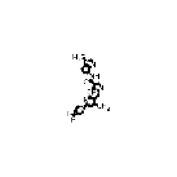 Cc1cc(N2CC3C(C2)C3(F)F)nc(C)c1Cn1cc(C(=O)N[C@@H]2CCc3c2ncn3C)cn1